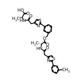 Cc1cccc(-c2nc(CC(=O)N[C@H](C)C(=O)OCc3cccc(-c4nc(CC(=O)N[C@@H](C)C(=O)O)cs4)c3)cs2)c1